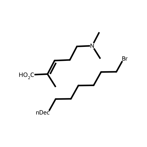 CC(=CCCN(C)C)C(=O)O.CCCCCCCCCCCCCCCCBr